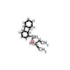 C=C[SiH](C=C)O[SiH2]c1cccc2c1-c1ccccc1-2